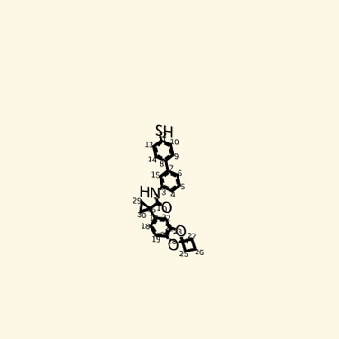 O=C(Nc1cccc(-c2ccc(S)cc2)c1)C1(c2ccc3c(c2)OC2(CCC2)O3)CC1